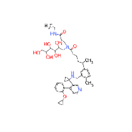 CCNC(=O)CCN(CC(O)C(O)C(O)C(O)CO)C(=O)CCCC(C)c1ccc(C)c(CNC2(c3cnccc3-c3ccccc3OC3CC3)CC2)c1